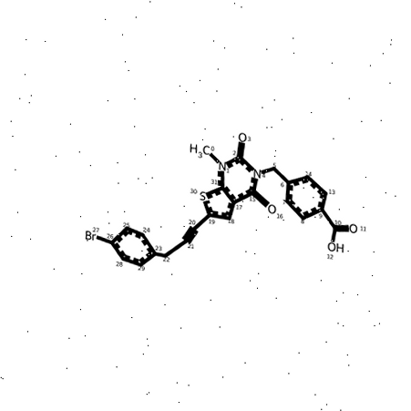 Cn1c(=O)n(Cc2ccc(C(=O)O)cc2)c(=O)c2cc(C#CCc3ccc(Br)cc3)sc21